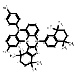 CC(C)(C)c1ccc(N2c3ccc(C(C)(C)C)cc3B3c4c2cccc4N(c2ccc4c(c2)C(C)(C)CCC4(C)C)c2sc4c(c23)C(C)(C)CCC4(C)C)cc1